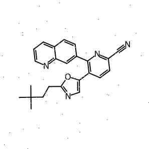 CC(C)(C)CCc1ncc(-c2ccc(C#N)nc2-c2ccc3cccnc3c2)o1